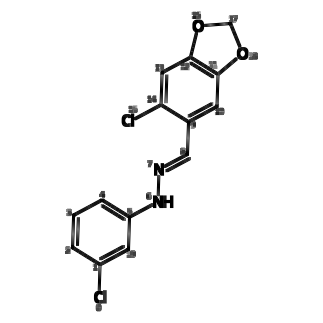 Clc1cccc(NN=Cc2cc3c(cc2Cl)OCO3)c1